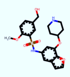 COc1ccc(CO)cc1S(=O)(=O)Nc1cc(OC2CCNCC2)c2occc2c1